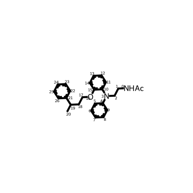 CC(=O)NCCN(c1ccccc1)c1ccccc1OCCC(C)c1ccccc1